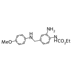 CCOC(=O)Nc1ccc(CNc2ccc(OC)cc2)cc1N